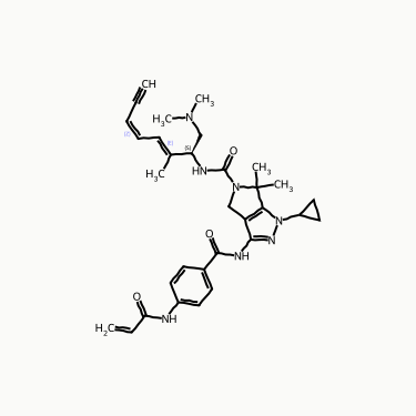 C#C/C=C\C=C(/C)[C@@H](CN(C)C)NC(=O)N1Cc2c(NC(=O)c3ccc(NC(=O)C=C)cc3)nn(C3CC3)c2C1(C)C